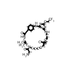 CC1(C)CNC(=O)c2ccc(cc2)Nc2nc(nc(OCC(F)(F)F)n2)NCc2ccc(c(Cl)c2)OCCCN(C(=O)CN)C1